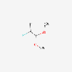 C=C(F)C(OCCCC)OCCCC